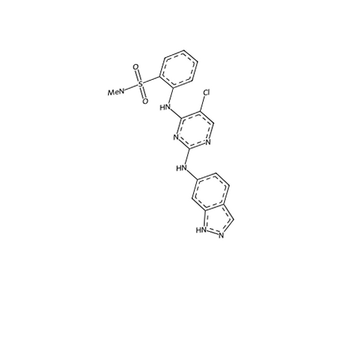 CNS(=O)(=O)c1ccccc1Nc1nc(Nc2ccc3cn[nH]c3c2)ncc1Cl